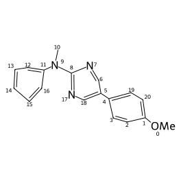 COc1ccc(-c2cnc(N(C)c3ccccc3)nc2)cc1